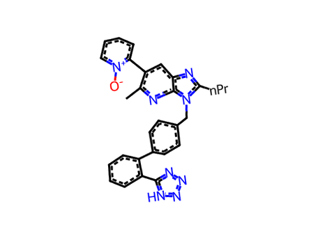 CCCc1nc2cc(-c3cccc[n+]3[O-])c(C)nc2n1Cc1ccc(-c2ccccc2-c2nnn[nH]2)cc1